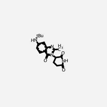 Cc1nc2cc(NC(C)(C)C)ccc2c(=O)n1C1CCC(=O)NC1=O